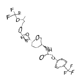 CC(COc1nnc([C@H]2CC[C@H](NC(=O)COc3ccc(C(F)(F)F)cc3)CO2)o1)OC(F)(F)F